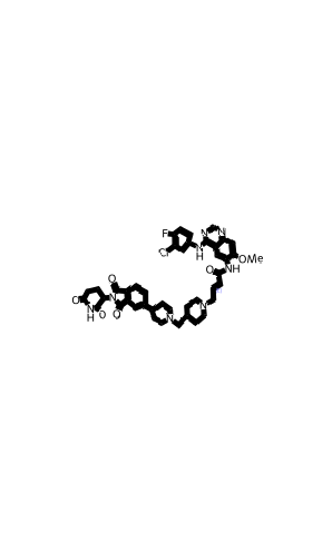 COc1cc2ncnc(Nc3ccc(F)c(Cl)c3)c2cc1NC(=O)/C=C/CN1CCC(CN2CCC(c3ccc4c(c3)C(=O)N(C3CCC(=O)NC3=O)C4=O)CC2)CC1